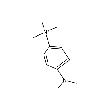 CN(C)c1ccc([N+](C)(C)C)cc1